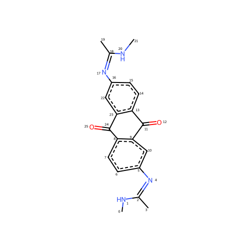 CNC(C)=Nc1ccc2c(c1)C(=O)c1ccc(N=C(C)NC)cc1C2=O